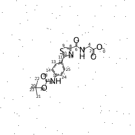 COC(=O)CNC(=O)c1csc(-c2ccc(NC(=O)OC(C)(C)C)cc2)n1